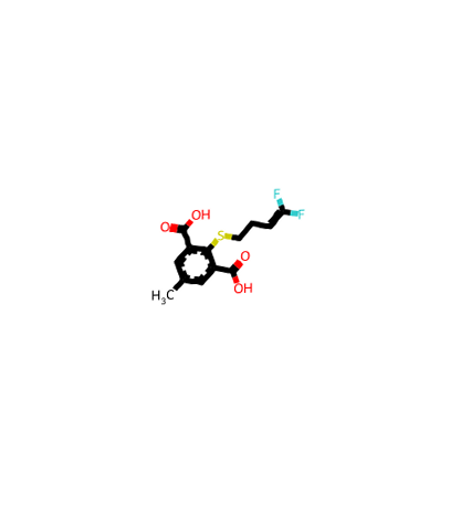 Cc1cc(C(=O)O)c(SCCC=C(F)F)c(C(=O)O)c1